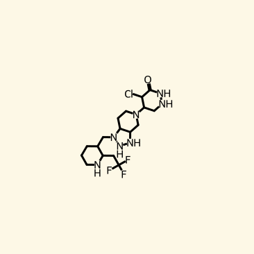 O=C1NNCC(N2CCC3C(C2)NNN3CC2CCCNC2CC(F)(F)F)C1Cl